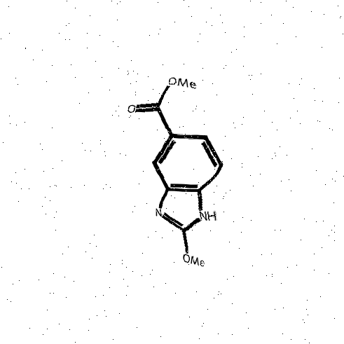 COC(=O)c1ccc2[nH]c(OC)nc2c1